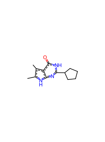 Cc1[nH]c2nc(C3CCCC3)[nH]c(=O)c2c1C